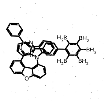 Bc1c(B)c(B)c(-c2ccc(-c3nc(-c4ccccc4)nc(-c4cccc5oc6cccc(-n7c8ccccc8c8ccccc87)c6c45)n3)cc2)c(B)c1B